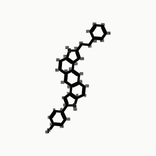 Fc1ccc(-c2cc3c(ccc4cc5c(ccc6sc(CCc7ccccc7)cc65)cc43)s2)cc1